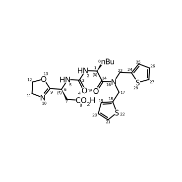 CCCC[C@H](NC(=O)N[C@@H](CC(=O)O)C1=NCCO1)C(=O)N(Cc1cccs1)Cc1cccs1